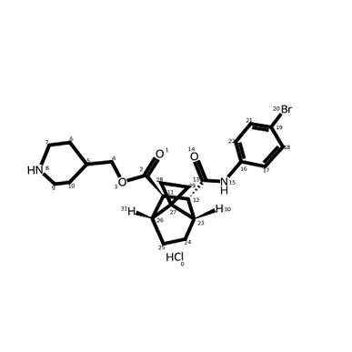 Cl.O=C(OCC1CCNCC1)[C@H]1[C@H](C(=O)Nc2ccc(Br)cc2)[C@@H]2CC[C@H]1C21CC1